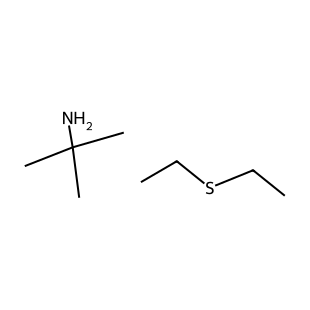 CC(C)(C)N.CCSCC